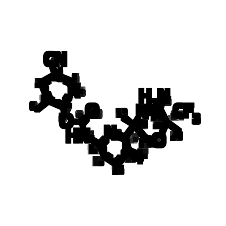 Cc1cc(C#N)cnc1OC(=O)Nc1ccc(F)c([C@@]2(C)CO[C@@](C)(C(F)(F)F)C(N)=N2)n1